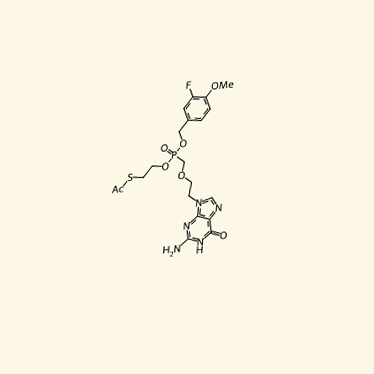 COc1ccc(COP(=O)(COCCn2cnc3c(=O)[nH]c(N)nc32)OCCSC(C)=O)cc1F